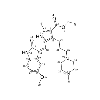 CCOC(=O)c1c(C)[nH]c(C=C2C(=O)Nc3ccc(OC)cc32)c1CCCN1CCN(C)CC1